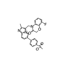 Cc1nc2ccc(-c3ccc(S(C)(=O)=O)cc3)cn2c1CN1C(=O)COc2c(F)cccc21